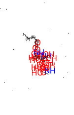 CCC(CC)O[C@@H](C)C(OC(OC[C@H](NC(C)=O)C(OC(CO)[C@H](C)O)C(CC)(CC)C(CC)(CC)OC1C(C(=O)O)OC(OC2C(O)C(CO)OC(C(C)CC)C2NC(C)=O)C(O)C1O)[C@@H](O)CO)C(=O)NCC(=O)Oc1c(C)c(C)c2c(c1C)CC[C@@](C)(CCC[C@H](C)CCC[C@H](C)CCCC(C)C)O2